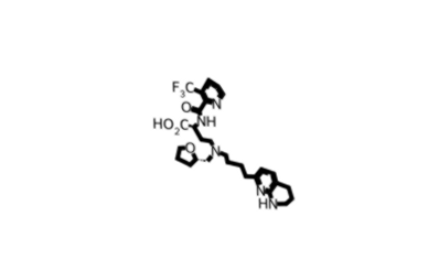 O=C(N[C@@H](CCN(CCCCc1ccc2c(n1)NCCC2)C[C@@H]1CCCO1)C(=O)O)c1ncccc1C(F)(F)F